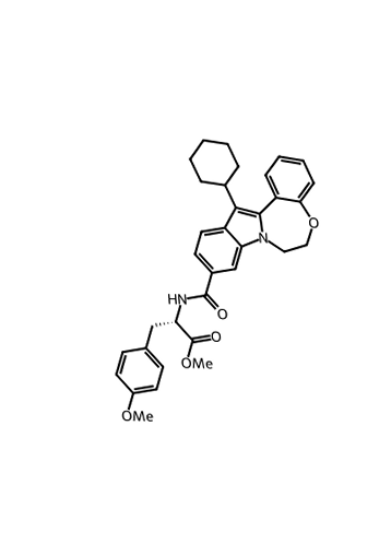 COC(=O)[C@H](Cc1ccc(OC)cc1)NC(=O)c1ccc2c(C3CCCCC3)c3n(c2c1)CCOc1ccccc1-3